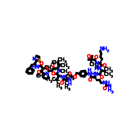 CC[C@H](C)[C@@H]([C@@H](CC(=O)N1CCC[C@H]1[C@H](OC)[C@@H](C)C(=O)N[C@@H](Cc1ccccc1)c1nccs1)OC)N(C)C(=O)[C@@H](NC(=O)C(C)(C)NC(=O)OCc1ccc(NC(=O)[C@H](CCCNC(N)=O)NC(=O)[C@@H](NC(=O)[C@H](CCCCN)NC(=O)C2(C)COC2)C(C)C)cc1)C(C)C